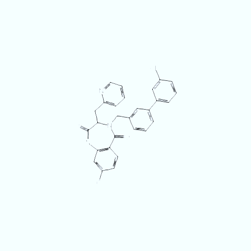 O=C1Nc2cc(Cl)ccc2C(=O)N(Cc2cccc(-c3cccc(Cl)c3)c2)C1Cc1ccccn1